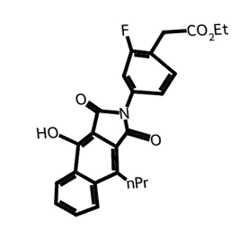 CCCc1c2c(c(O)c3ccccc13)C(=O)N(c1ccc(CC(=O)OCC)c(F)c1)C2=O